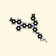 Cc1ccc(/C=C/c2ccc(N(c3ccc(-c4ccc(N(c5ccccc5)c5cccc(-c6ccc7c(c6)CC7)c5)cc4)cc3)c3cccc(-c4ccc5c(c4)CC5)c3)cc2)cc1